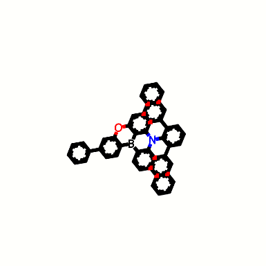 c1ccc(-c2ccc3c(c2)Oc2cc(-c4ccccc4)cc4c2B3c2ccc(-c3ccccc3)cc2N4c2c(-c3ccccc3)cccc2-c2ccccc2)cc1